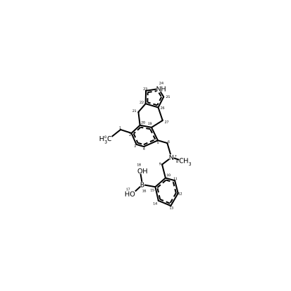 CCc1ccc(CN(C)Cc2ccccc2B(O)O)c2c1Cc1c[nH]cc1C2